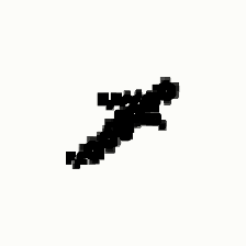 NCCCC[C@H](CSc1ccccc1)Nc1ccc(S(=O)(=O)NC(=O)c2ccc(-c3ccc(C(F)(F)F)cn3)cc2)cc1[N+](=O)[O-]